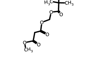 COC(=O)CC(=O)OCOC(=O)C(C)(C)C